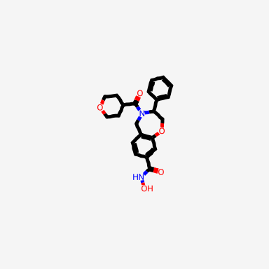 O=C(NO)c1ccc2c(c1)OCC(c1ccccc1)N(C(=O)C1CCOCC1)C2